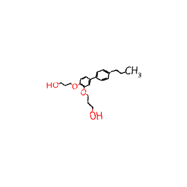 CCCc1ccc(-c2ccc(OCCCO)c(OCCCO)c2)cc1